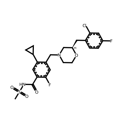 CS(=O)(=O)NC(=O)c1cc(C2CC2)c(CN2CCO[C@H](Cc3ccc(F)cc3Cl)C2)cc1F